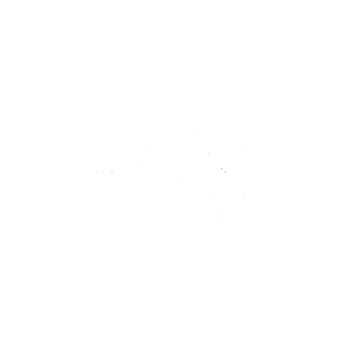 CCCCCCCCC(=O)OC1CC(C)(C)NC(C)(C)C1